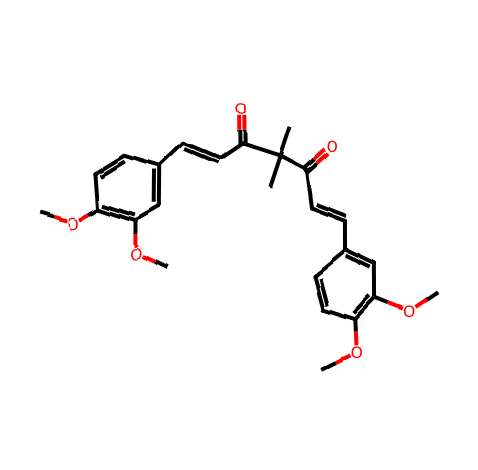 COc1ccc(C=CC(=O)C(C)(C)C(=O)C=Cc2ccc(OC)c(OC)c2)cc1OC